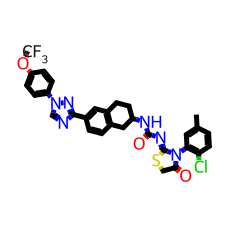 Cc1ccc(Cl)c(N2C(=O)CSC2=NC(=O)NC2CCc3cc(-c4ncn(-c5ccc(OC(F)(F)F)cc5)n4)ccc3C2)c1